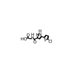 O=C(O)CNC(=O)c1cc(-c2ccc(Cl)s2)[nH]n1